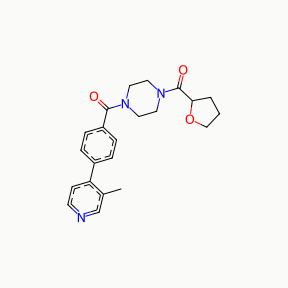 Cc1cnccc1-c1ccc(C(=O)N2CCN(C(=O)C3CCCO3)CC2)cc1